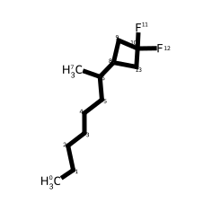 CCCCCCC(C)C1CC(F)(F)C1